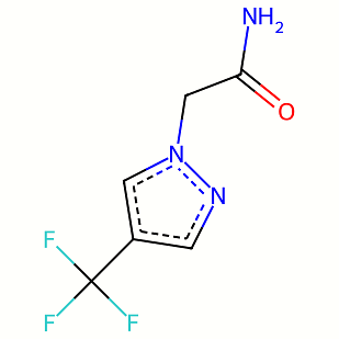 NC(=O)Cn1cc(C(F)(F)F)cn1